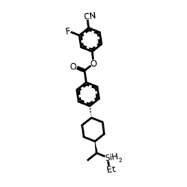 CC[SiH2]C(C)[C@H]1CC[C@H](c2ccc(C(=O)Oc3ccc(C#N)c(F)c3)cc2)CC1